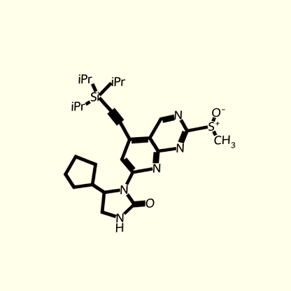 CC(C)[Si](C#Cc1cc(N2C(=O)NCC2C2CCCC2)nc2nc([S+](C)[O-])ncc12)(C(C)C)C(C)C